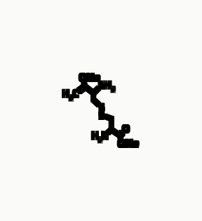 C=C(OC)C(N)CSSCC(N)C(=O)OC